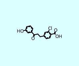 O=C(CCc1ccc(C(=O)O)c(Cl)c1)c1cccc(O)c1